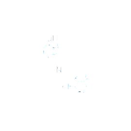 CCCN(CCOc1c(Cl)cccc1Cl)C1Cc2ccc(O)c(O)c2C1